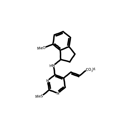 COc1cccc2c1C(Nc1nc(SC)ncc1/C=C/C(=O)O)CC2